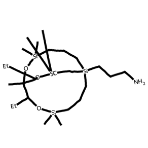 CCC1O[Si](C)(C)CCC[Si]2(CCCN)CCC[Si](C)(C)OC(CC)C1(C)O[Si](C)(C)CCC2